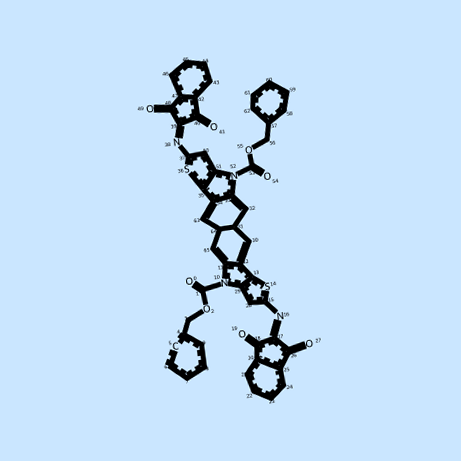 O=C(OCc1ccccc1)n1c2c(c3sc(N=c4c(=O)c5ccccc5c4=O)cc31)=CC1C=c3c(c4sc(N=c5c(=O)c6ccccc6c5=O)cc4n3C(=O)OCc3ccccc3)=CC1C=2